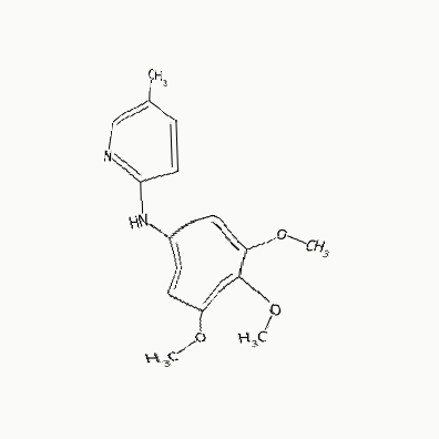 COc1cc(Nc2ccc(C)cn2)cc(OC)c1OC